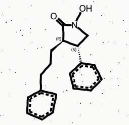 O=C1[C@H](CCCc2ccccc2)[C@@H](c2ccccc2)CN1O